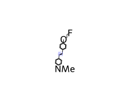 CNc1ccc(/C=C/c2ccc(OCCF)cc2)cc1